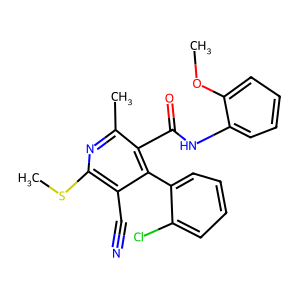 COc1ccccc1NC(=O)c1c(C)nc(SC)c(C#N)c1-c1ccccc1Cl